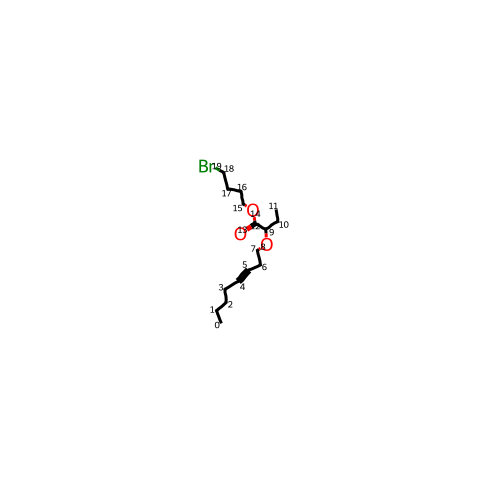 CCCCC#CCCOC(CC)C(=O)OCCCCBr